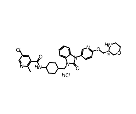 Cc1ncc(Cl)cc1C(=O)NC1CCC(Cn2c(=O)n(-c3ccc(OC[C@@H]4COCCN4)nc3)c3ccccc32)CC1.Cl